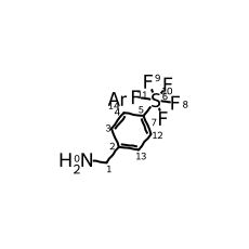 NCc1ccc(S(F)(F)(F)(F)F)cc1.[Ar]